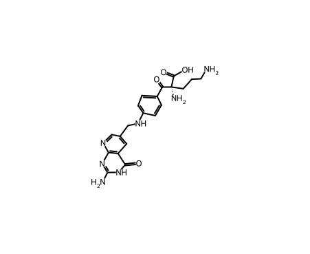 NCCC[C@](N)(C(=O)O)C(=O)c1ccc(NCc2cnc3nc(N)[nH]c(=O)c3c2)cc1